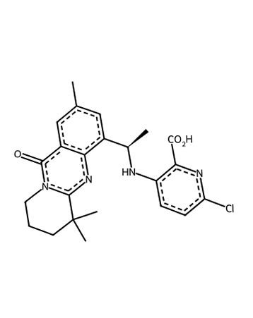 Cc1cc([C@@H](C)Nc2ccc(Cl)nc2C(=O)O)c2nc3n(c(=O)c2c1)CCCC3(C)C